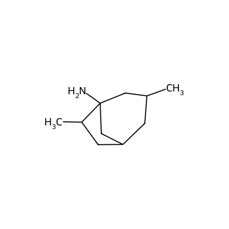 CC1CC2CC(C)C(N)(C1)C2